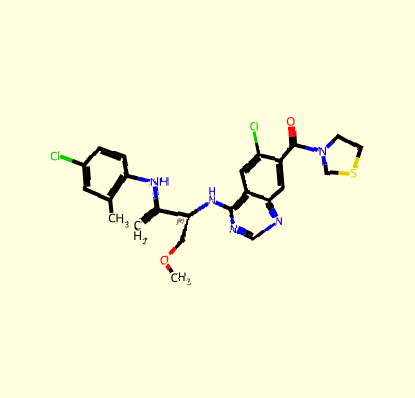 C=C(Nc1ccc(Cl)cc1C)[C@H](COC)Nc1ncnc2cc(C(=O)N3CCSC3)c(Cl)cc12